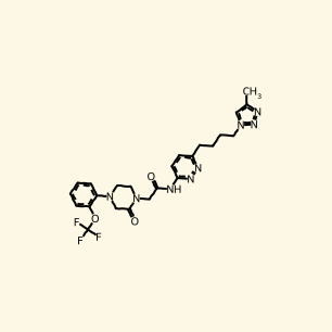 Cc1cn(CCCCc2ccc(NC(=O)CN3CCN(c4ccccc4OC(F)(F)F)CC3=O)nn2)nn1